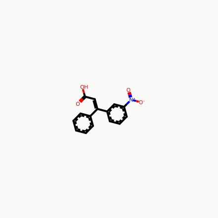 O=C(O)/C=C(\c1ccccc1)c1cccc([N+](=O)[O-])c1